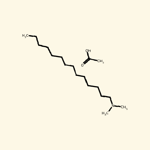 CC(=O)O.CCCCCCCCCCCCCCN(C)C